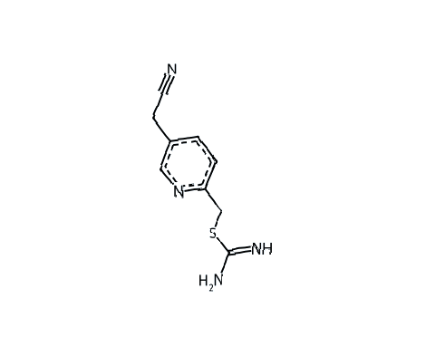 N#CCc1ccc(CSC(=N)N)nc1